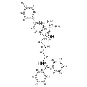 Cc1ccc(-c2ccc([C@@H](O)CNCCNC(c3ccccc3)c3ccccc3)c(C(F)(F)F)n2)cc1